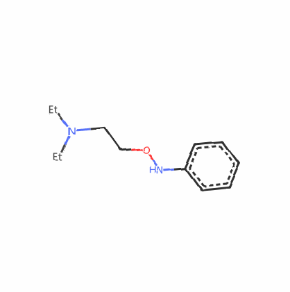 CCN(CC)CCONc1ccccc1